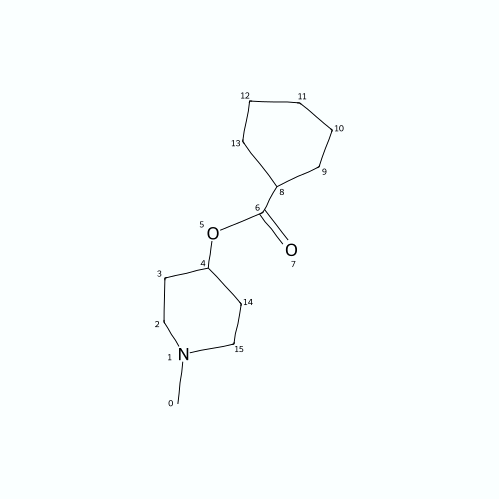 CN1CCC(OC(=O)C2CCCCC2)CC1